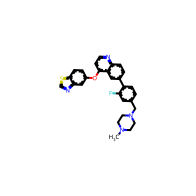 CN1CCN(Cc2ccc(-c3ccc4nccc(Oc5ccc6scnc6c5)c4c3)c(F)c2)CC1